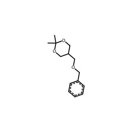 CC1(C)OCC(COCc2ccccc2)CO1